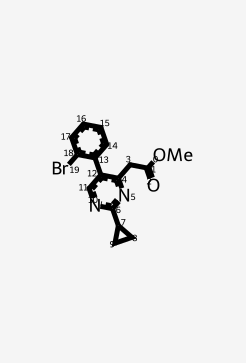 COC(=O)Cc1nc(C2CC2)ncc1-c1ccccc1Br